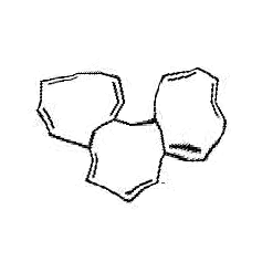 [C]1=CC=C2C=CC=CC=C2C2C=CC=CC=C12